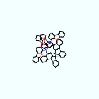 CC1(C2(C)c3ccccc3-c3c2cc(N(c2cccc4c2oc2ccccc24)c2cccc4c2oc2ccccc24)c2ccccc32)c2ccccc2-c2c1cc(N(c1cccc3c1oc1ccccc13)c1cccc3c1oc1ccccc13)c1ccccc21